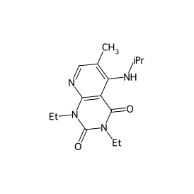 CCn1c(=O)c2c(NC(C)C)c(C)cnc2n(CC)c1=O